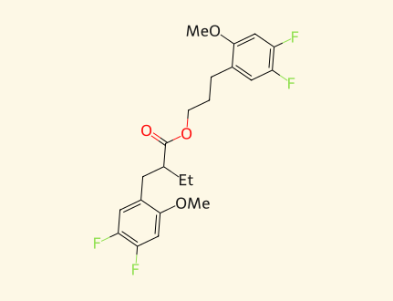 CCC(Cc1cc(F)c(F)cc1OC)C(=O)OCCCc1cc(F)c(F)cc1OC